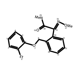 CCc1ccccc1OCc1ccccc1/C(=N\OC)C(=O)NC